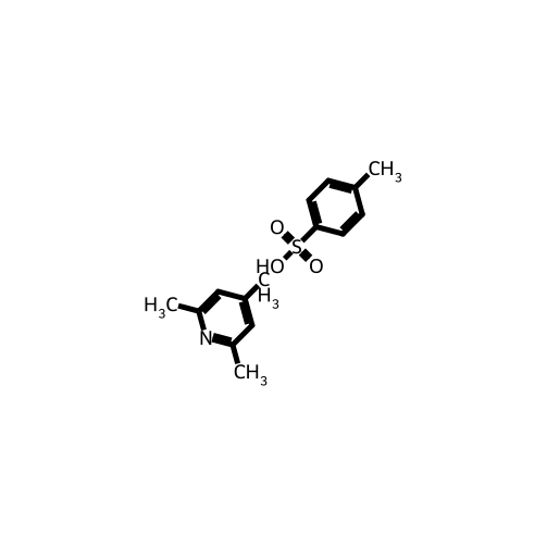 Cc1cc(C)nc(C)c1.Cc1ccc(S(=O)(=O)O)cc1